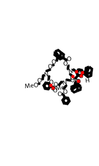 COCOCCN(CCOCOC)CCOCOCC12CC3CC(C1)CC(C(=O)OCCN(CCOC(=O)C14CC5CC(CC(C5)C1)C4)CCOC(=O)C14CC5CC(C1)C(c1cccc(C(=O)OCCN(CCOC(=O)c6ccccc6)CCOC(=O)c6ccccc6)c1)[C@H](C5)C4)(C3)C2